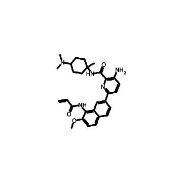 C=CC(=O)Nc1c(OC)ccc2ccc(-c3ccc(N)c(C(=O)NC4(C)CCC(N(C)C)CC4)n3)cc12